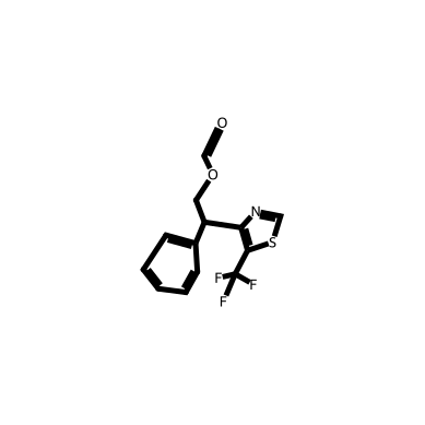 O=COCC(c1ccccc1)c1ncsc1C(F)(F)F